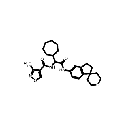 Cc1nocc1C(=O)NC(C(=O)Nc1ccc2c(c1)CCC21CCOCC1)C1CCCCCC1